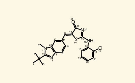 Cn1c(C(C)(C)C)nc2ccc(/C=C3\SC(Nc4ccccc4Cl)=NC3=O)cc21